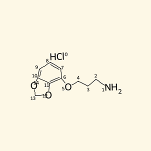 Cl.NCCCOc1cccc2c1OCO2